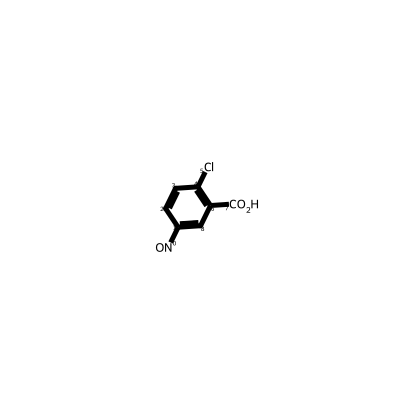 O=Nc1ccc(Cl)c(C(=O)O)c1